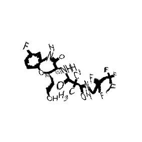 CC(C)(C(=O)NCC(F)(F)C(F)(F)F)C(=O)N[C@@H]1C(=O)Nc2cc(F)ccc2O[C@@H]1CCO